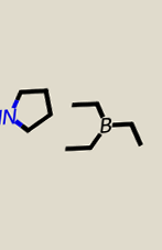 C1CCNC1.CCB(CC)CC